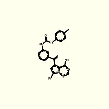 Cc1ccc(OC(=O)Nc2cccc(C(=O)c3cc(C(C)C)n4ncnc(N)c34)c2)cc1